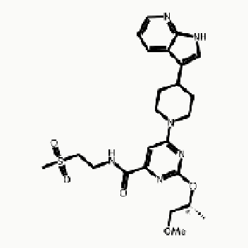 COC[C@@H](C)Oc1nc(C(=O)NCCS(C)(=O)=O)cc(N2CCC(c3c[nH]c4ncccc34)CC2)n1